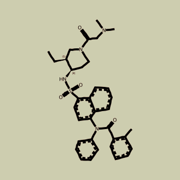 CC[C@H]1CN(C(=O)CN(C)C)CC[C@H]1NS(=O)(=O)c1ccc(N(C(=O)c2ccccc2C)c2ccccc2)c2ccccc12